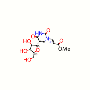 COC(=O)/C=C/n1cc([C@@H]2O[C@H](CO)C(O)C2O)c(=O)[nH]c1=O